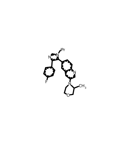 CC1COCCN1c1cnc2ccc(-c3c(-c4ccc(F)cc4)ncn3C(C)C)cc2c1